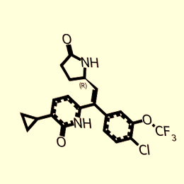 O=C1CC[C@H](C=C(c2ccc(Cl)c(OC(F)(F)F)c2)c2ccc(C3CC3)c(=O)[nH]2)N1